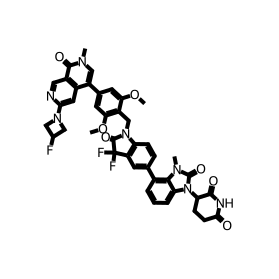 COc1cc(-c2cn(C)c(=O)c3cnc(N4CC(F)C4)cc23)cc(OC)c1CN1C(=O)C(F)(F)c2cc(-c3cccc4c3n(C)c(=O)n4C3CCC(=O)NC3=O)ccc21